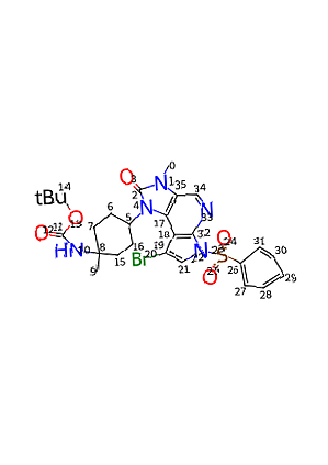 Cn1c(=O)n(C2CCC(C)(NC(=O)OC(C)(C)C)CC2)c2c3c(Br)cn(S(=O)(=O)c4ccccc4)c3ncc21